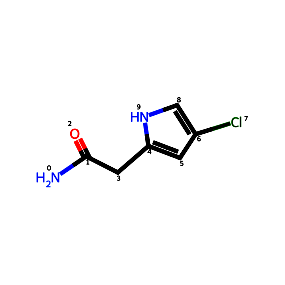 NC(=O)Cc1cc(Cl)c[nH]1